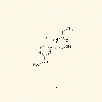 CCC(=O)N[C@H](CO)c1cc(NC)ncc1F